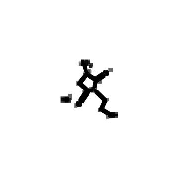 Br.N[C@@H]1CC(=O)N(CCO)C1=O